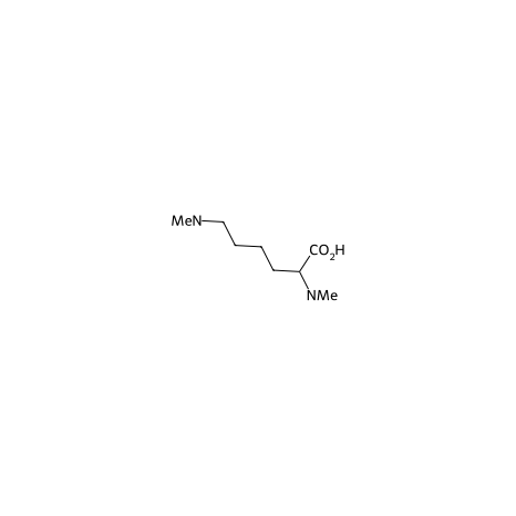 CNCCCCC(NC)C(=O)O